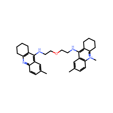 Cc1ccc2nc3c(c(NCCOCCNc4c5c([n+](C)c6ccc(C)cc46)CCCC5)c2c1)CCCC3